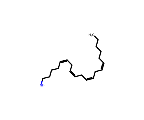 CCCCC/C=C\C/C=C\C/C=C\C/C=C\CCCC[NH]